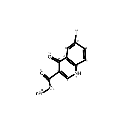 CCCOC(=O)c1c[nH]c2ccc(I)cc2c1=O